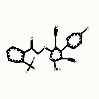 N#Cc1c(N)nc(SCC(=O)c2ccccc2C(F)(F)F)c(C#N)c1-c1ccc(Cl)cc1